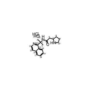 CC(C)(NC(=O)CC1CCCN1)c1nccc2ccccc12.Cl.Cl